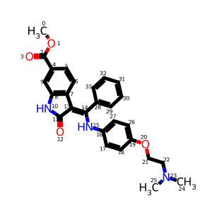 COC(=O)c1ccc2c(c1)NC(=O)/C2=C(\Nc1ccc(OCCN(C)C)cc1)c1ccccc1